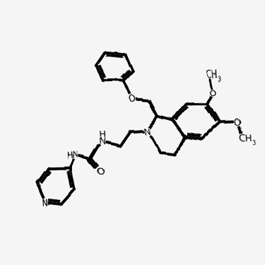 COc1cc2c(cc1OC)C(COc1ccccc1)N(CCNC(=O)Nc1ccncc1)CC2